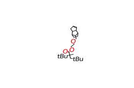 CC(C)(C)CC(C)(C(=O)OCCOCC1C2CCC1C1CC=CC12)C(C)(C)C